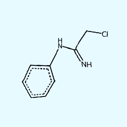 N=C(CCl)Nc1ccccc1